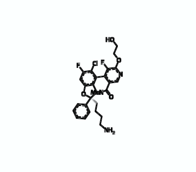 CNC(=O)c1cnc(OCCO)c(F)c1-c1c(Cl)c(F)cc2c1C[C@@](CCCCN)(c1ccccc1)O2